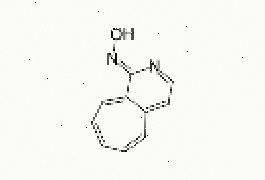 ON=c1nccc2cccccc1-2